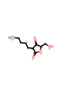 CCCCCC1C(=O)OC(CO)C1=O